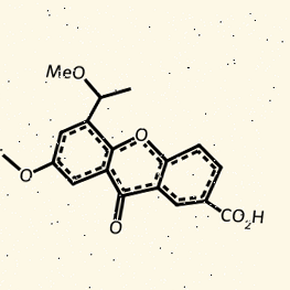 COC(C)c1cc(OC(C)C)cc2c(=O)c3cc(C(=O)O)ccc3oc12